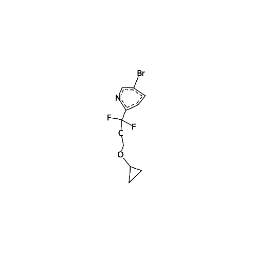 FC(F)(CCOC1CC1)c1ccc(Br)cn1